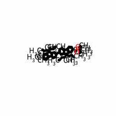 CCCC(C)C1(C(C)CCC)c2cc(B3OC(C)(C)C(C)(C)O3)ccc2-c2ccc(-c3ccc4c(c3)C(C(C)CCC)(C(C)CCC)c3cc([Si](C)(C)C)ccc3-4)cc21